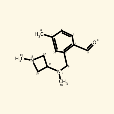 Cc1ccc(C=O)c(CN(C)C2CN(C)C2)c1